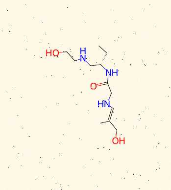 CC[C@@H](CNCCO)NC(=O)CN/C=C(\C)CO